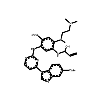 C=CC(O)Nc1cc(Nc2nccc(-n3cnc4cc(OC)ccc43)n2)c(OC)cc1N(C)CCN(C)C